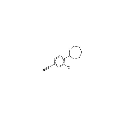 N#Cc1ccc(C2CCCCCC2)c(Cl)c1